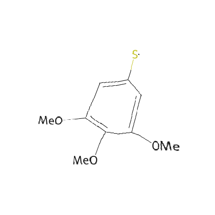 COc1cc([S])cc(OC)c1OC